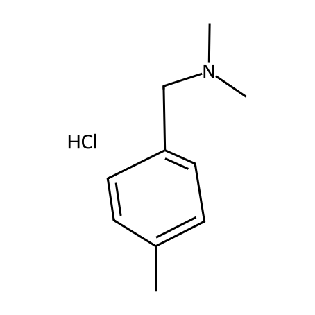 Cc1ccc(CN(C)C)cc1.Cl